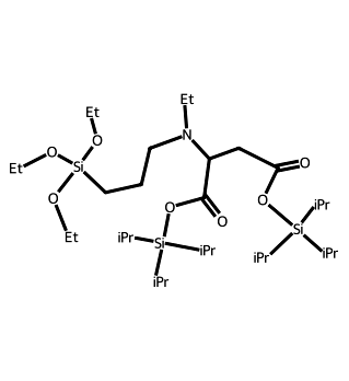 CCO[Si](CCCN(CC)C(CC(=O)O[Si](C(C)C)(C(C)C)C(C)C)C(=O)O[Si](C(C)C)(C(C)C)C(C)C)(OCC)OCC